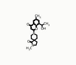 Cc1cc(C(C)O)c2oc(N3CCC4(CCN(C)C4=O)CC3)cc(=O)c2c1